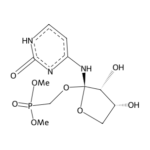 COP(=O)(CO[C@@]1(Nc2cc[nH]c(=O)n2)OC[C@@H](O)[C@H]1O)OC